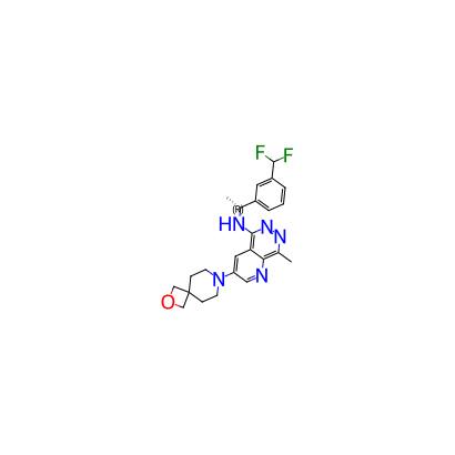 Cc1nnc(N[C@H](C)c2cccc(C(F)F)c2)c2cc(N3CCC4(CC3)COC4)cnc12